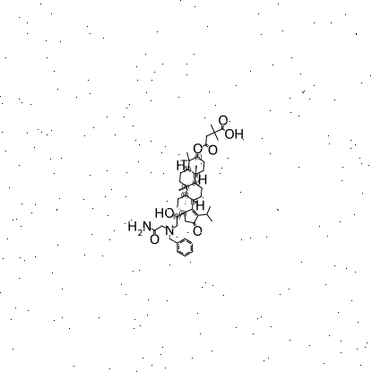 CC(C)C1=C2[C@H]3CC[C@@H]4[C@@]5(C)CC[C@H](OC(=O)CC(C)(C)C(=O)O)C(C)(C)[C@@H]5CC[C@@]4(C)[C@]3(C)CC[C@@]2([C@@H](O)CN(CC(N)=O)Cc2ccccc2)CC1=O